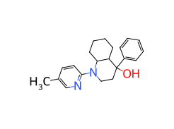 Cc1ccc(N2CCC(O)(c3ccccc3)C3CCCCC32)nc1